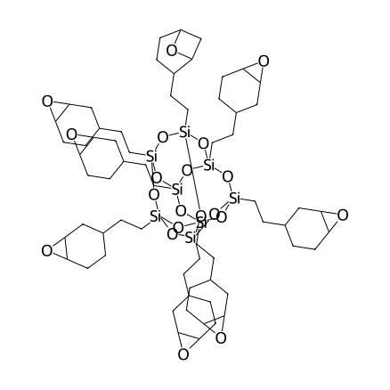 C1CC2OC2CC1CC[Si]12O[Si]3(CCC4CCC5OC5C4)O[Si]4(CCC5CCC6OC6C5)O[Si](CCC5CCC6OC6C5)(O1)O[Si]1(CCC5CCC6OC6C5)O[Si](CCC5CCC6OC6C5)(O2)O[Si](CCC2CCC5OC5C2)(O3)O[Si](CCC2CCC3CC2O3)(O4)O1